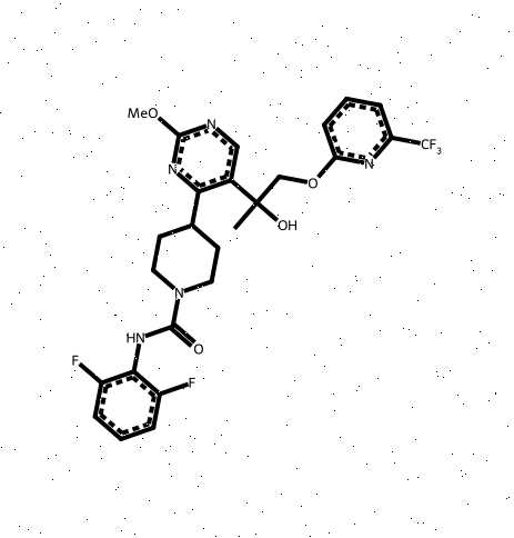 COc1ncc(C(C)(O)COc2cccc(C(F)(F)F)n2)c(C2CCN(C(=O)Nc3c(F)cccc3F)CC2)n1